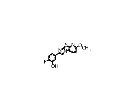 COc1ccc2c(n1)sc1nc(-c3ccc(F)c(O)c3)cn12